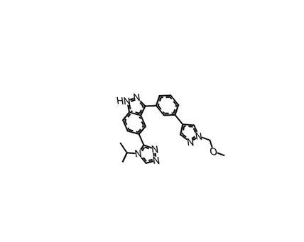 COCn1cc(-c2cccc(-c3n[nH]c4ccc(-c5nncn5C(C)C)cc34)c2)cn1